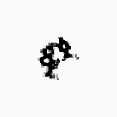 Cc1ccc(C(N)=O)cc1Nc1ncc2c(n1)-c1c(c(C(N)=O)nn1C)CC2